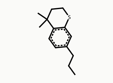 CCCc1ccc2c(c1)SCCC2(C)C